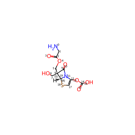 NCC(=O)OC[C@@]1(CO)C(=O)N2C(OC(=O)O)=CS[C@@H]21